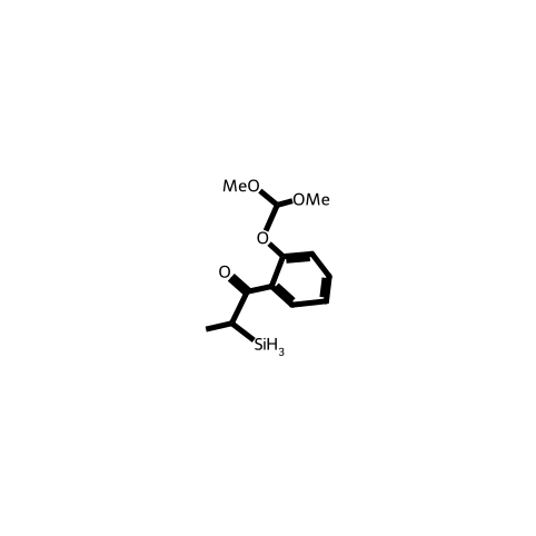 COC(OC)Oc1ccccc1C(=O)C(C)[SiH3]